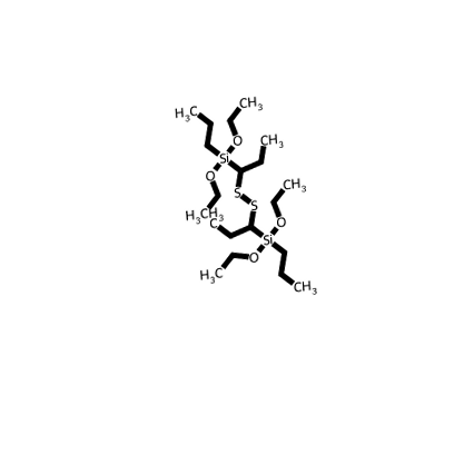 CCC[Si](OCC)(OCC)C(CC)SSC(CC)[Si](CCC)(OCC)OCC